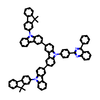 CC1(C)c2ccccc2-c2ccc(-n3c4ccccc4c4cc(-c5ccc6c(c5)c5cc(-c7ccc8c(c7)c7ccccc7n8-c7ccc8c(c7)C(C)(C)c7ccccc7-8)ccc5n6-c5ccc(-c6nc(-c7ccccc7)c7ccccc7n6)cc5)ccc43)cc21